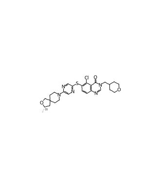 C[C@H]1CC2(CCN(c3cnc(Sc4ccc5ncn(CC6CCOCC6)c(=O)c5c4Cl)cn3)CC2)CO1